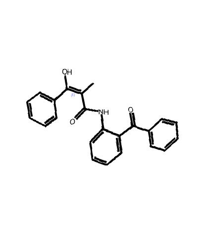 C/C(C(=O)Nc1ccccc1C(=O)c1ccccc1)=C(\O)c1ccccc1